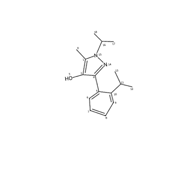 Cc1c(O)c(-c2ccccc2C(C)C)nn1C(C)C